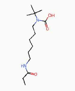 CCC(=O)NCCCCCCN(C(=O)O)C(C)(C)C